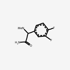 CNC(C(N)=O)c1ccc(F)c(F)c1